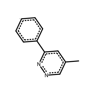 Cc1cnnc(-c2cc[c]cc2)c1